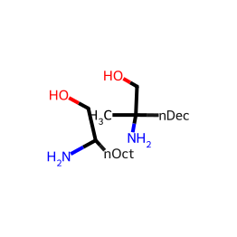 CCCCCCCCC(N)CO.CCCCCCCCCCC(C)(N)CO